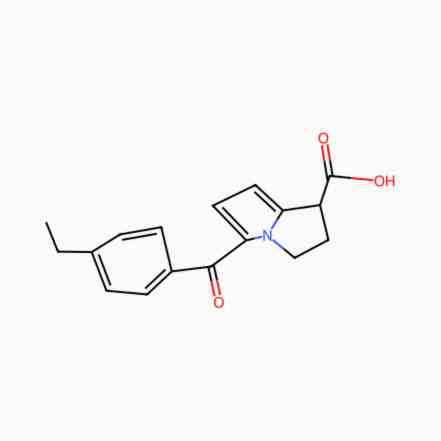 CCc1ccc(C(=O)c2ccc3n2CCC3C(=O)O)cc1